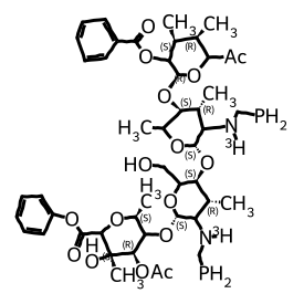 [3H]N(CP)C1[C@H](O[C@@H]2C(CO)O[C@@H](OC3[C@H](C)OC(C(=O)Oc4ccccc4)[C@@](C)(O)[C@@H]3OC(C)=O)C(N([3H])CP)[C@H]2C)OC(C)[C@@H](O[C@@H]2OC(C(C)=O)[C@H](C)[C@H](C)C2OC(=O)c2ccccc2)[C@@H]1C